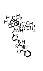 CC(C)(C)OC(=O)N[C@@H](Cc1ccc(NC(=S)NC(=O)c2ccccc2)s1)C(=O)OC(C)(C)C